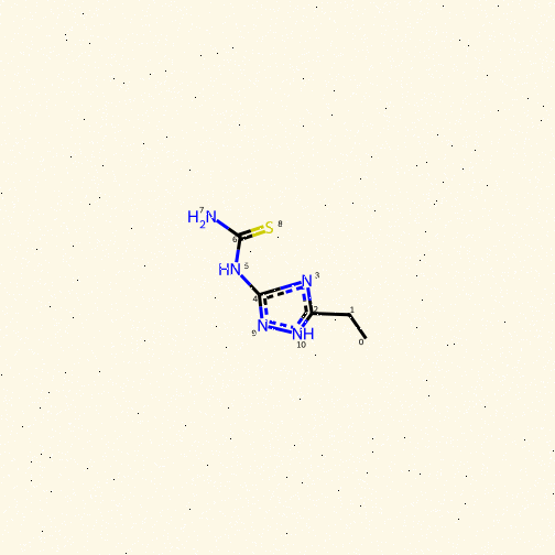 CCc1nc(NC(N)=S)n[nH]1